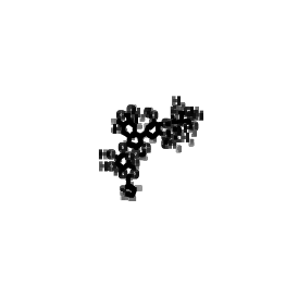 COCP(=O)(NC(C)(C(=O)O)C(C)C)Oc1c(OC)cc(-c2c3c(c(O[C@@H]4O[C@@H]5COC(c6cccs6)O[C@H]5[C@H](O)[C@H]4O)c4c2OCO4)C[C@H]2COC(=O)[C@@H]2C3)cc1OC